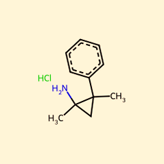 CC1(N)CC1(C)c1ccccc1.Cl